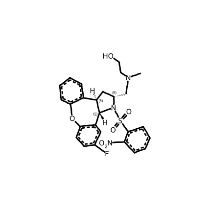 CN(CCO)C[C@H]1C[C@@H]2c3ccccc3Oc3ccc(F)cc3[C@H]2N1S(=O)(=O)c1ccccc1[N+](=O)[O-]